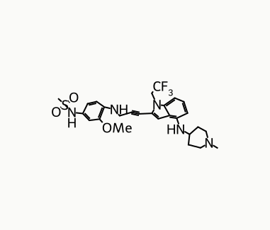 COc1cc(NS(C)(=O)=O)ccc1NCC#Cc1cc2c(NC3CCN(C)CC3)cccc2n1CC(F)(F)F